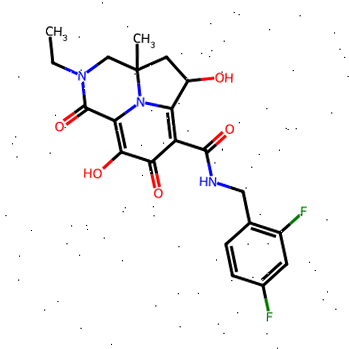 CCN1CC2(C)CC(O)c3c(C(=O)NCc4ccc(F)cc4F)c(=O)c(O)c(n32)C1=O